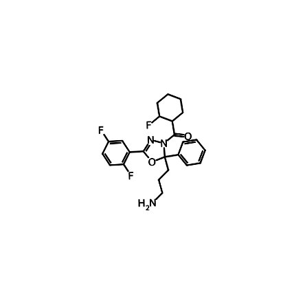 NCCCC1(c2ccccc2)OC(c2cc(F)ccc2F)=NN1C(=O)C1CCCCC1F